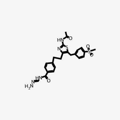 CC(=O)Nc1nc(CCc2ccc(C(=O)NC=NN)cc2)c(Cc2ccc(S(C)(=O)=O)cc2)s1